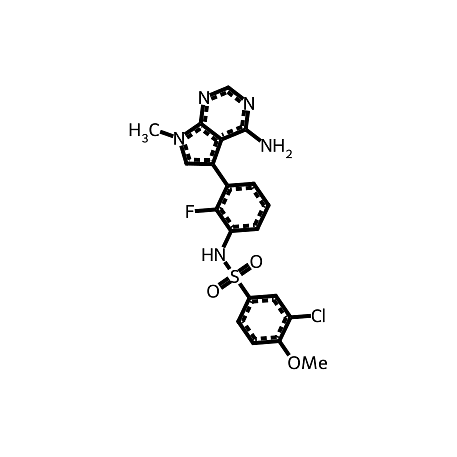 COc1ccc(S(=O)(=O)Nc2cccc(-c3cn(C)c4ncnc(N)c34)c2F)cc1Cl